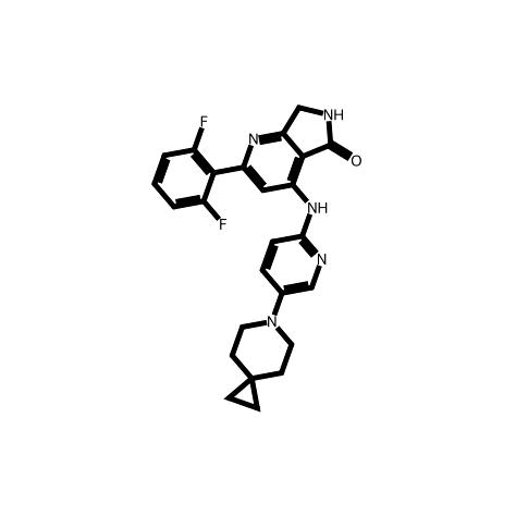 O=C1NCc2nc(-c3c(F)cccc3F)cc(Nc3ccc(N4CCC5(CC4)CC5)cn3)c21